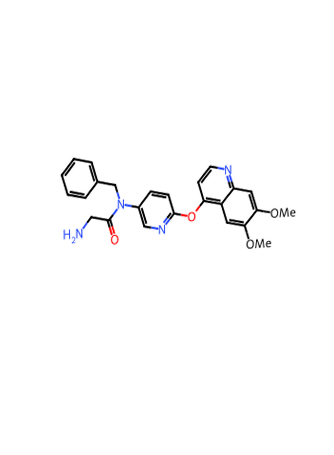 COc1cc2nccc(Oc3ccc(N(Cc4ccccc4)C(=O)CN)cn3)c2cc1OC